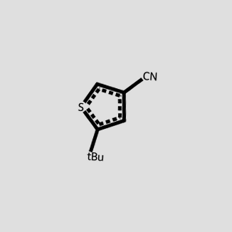 CC(C)(C)c1cc(C#N)cs1